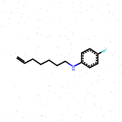 C=CCCCCCNc1ccc(F)cc1